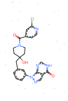 O=C(c1ccnc(Cl)c1)N1CCC(O)(Cc2cccc(-n3ncc4c(=O)[nH]cnc43)c2)CC1